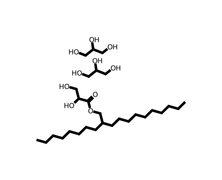 CCCCCCCCCCC(CCCCCCCC)COC(=O)C(O)CO.OCC(O)CO.OCC(O)CO